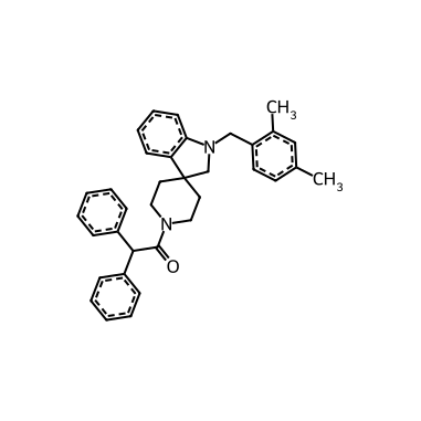 Cc1ccc(CN2CC3(CCN(C(=O)C(c4ccccc4)c4ccccc4)CC3)c3ccccc32)c(C)c1